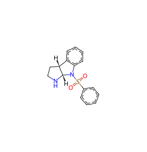 O=S(=O)(c1ccccc1)N1c2ccccc2[C@H]2CCN[C@H]21